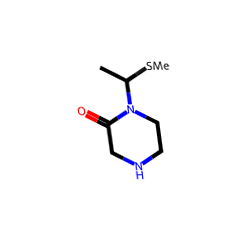 CSC(C)N1CCNCC1=O